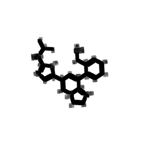 CC(C)Nc1ncc(-c2cc(-c3ccccc3CO)c3nccn3c2)s1